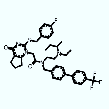 CCC(C)N(CC)CCN(Cc1ccc(-c2ccc(C(F)(F)F)cc2)cc1)C(=O)Cn1c(SCc2ccc(F)cc2)nc(=O)c2c1CCC2